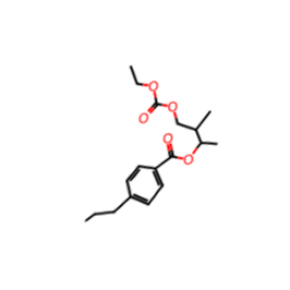 CCCc1ccc(C(=O)OC(C)C(C)COC(=O)OCC)cc1